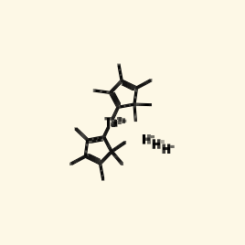 CC1=C(C)C(C)(C)[C]([Ta+3][C]2=C(C)C(C)=C(C)C2(C)C)=C1C.[H-].[H-].[H-]